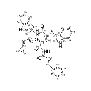 C[C@H](NC(=O)OCc1ccccc1)C(=O)N[C@@H](Cc1c[nH]c2ccccc12)C(=O)NC(Cc1ccccc1)C(O)C(=O)NC1CC1